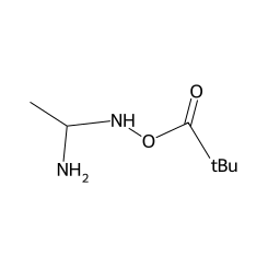 CC(N)NOC(=O)C(C)(C)C